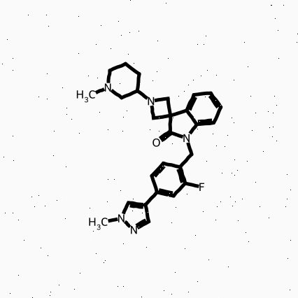 CN1CCCC(N2CC3(C2)C(=O)N(Cc2ccc(-c4cnn(C)c4)cc2F)c2ccccc23)C1